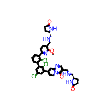 COc1nc(-c2cccc(-c3cc(Cl)cc(-c4ccn5c(=O)c(CNC[C@H]6CCC(=O)N6)cnc5c4)c3Cl)c2Cl)ccc1CNC[C@@H]1CCC(=O)N1